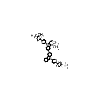 C=Cc1c(/C=C\C)n(-c2ccc(C3=NCC(C)(C)O3)nc2)c2ccc(-c3ccc4c(c3)c3ccccc3n4-c3ccc(C4=NC(C)(C)CO4)nc3)cc12